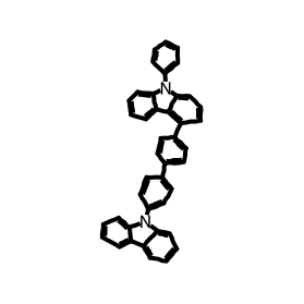 c1ccc(-n2c3ccccc3c3c(-c4ccc(-c5ccc(-n6c7ccccc7c7ccccc76)cc5)cc4)cccc32)cc1